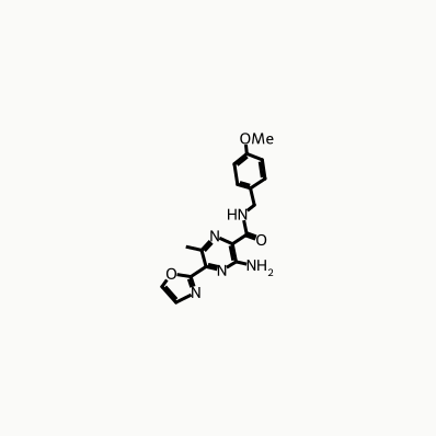 COc1ccc(CNC(=O)c2nc(C)c(-c3ncco3)nc2N)cc1